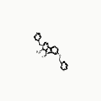 CCCn1c2cc(OCc3ccccc3)ccc2c2cc[n+](Cc3ccccc3)c(C)c21